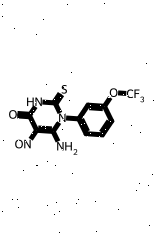 Nc1c(N=O)c(=O)[nH]c(=S)n1-c1cccc(OC(F)(F)F)c1